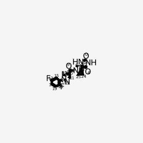 O=C1NC(=O)[C@](CNC(=O)c2cnn(-c3cc(F)ccc3F)n2)(C2CC2)N1